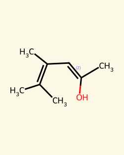 CC(C)=C(C)/C=C(/C)O